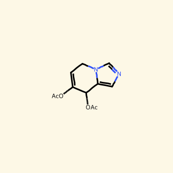 CC(=O)OC1=CCn2cncc2C1OC(C)=O